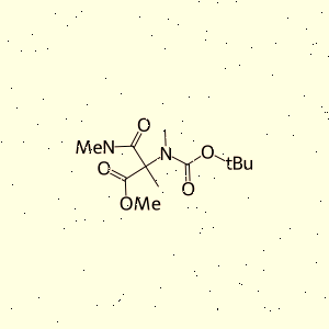 CNC(=O)C(C)(C(=O)OC)N(C)C(=O)OC(C)(C)C